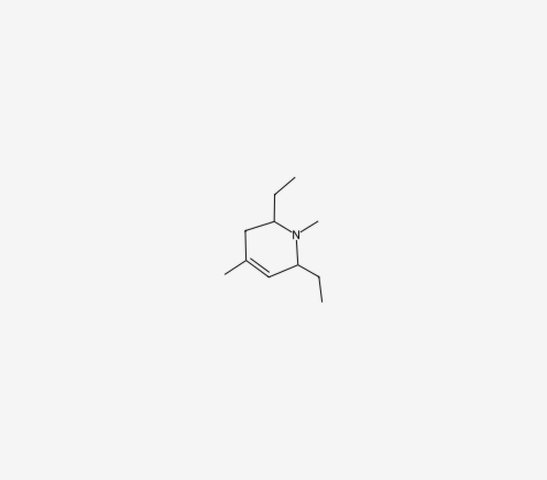 CCC1C=C(C)CC(CC)N1C